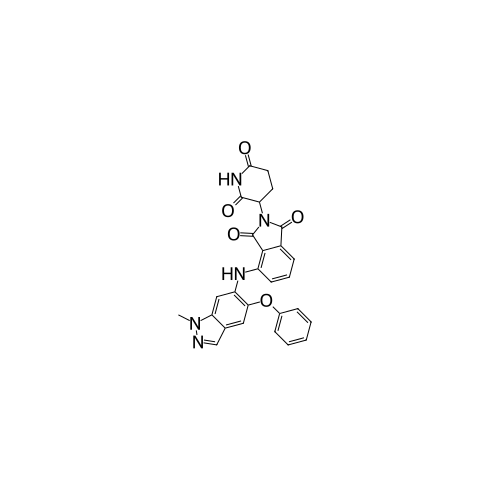 Cn1ncc2cc(Oc3ccccc3)c(Nc3cccc4c3C(=O)N(C3CCC(=O)NC3=O)C4=O)cc21